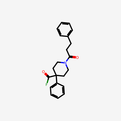 O=C(CCc1ccccc1)N1CCC(C(=O)F)(c2ccccc2)CC1